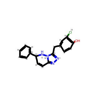 Oc1ccc(Cc2nnc3n2NC(c2ccccc2)C=C3)cc1Cl